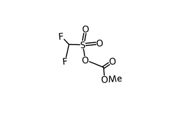 COC(=O)OS(=O)(=O)C(F)F